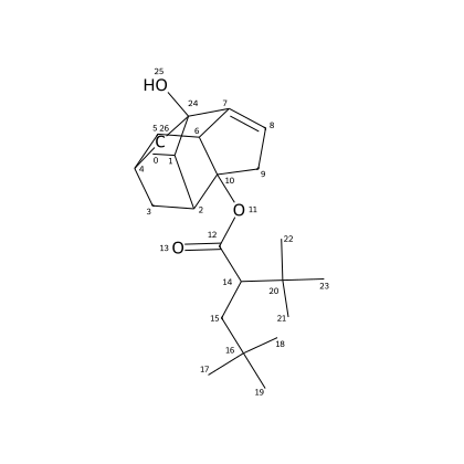 CC1C2CC3CC4C(=CCC42OC(=O)C(CC(C)(C)C)C(C)(C)C)C1(O)C3